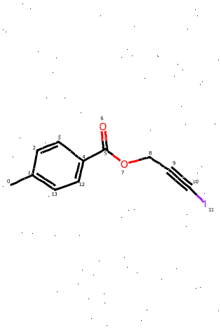 Cc1ccc(C(=O)OCC#CI)cc1